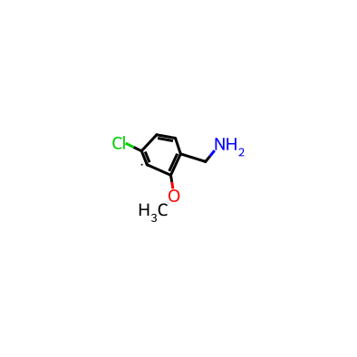 COc1[c]c(Cl)ccc1CN